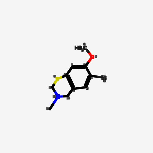 CCc1cc2c(cc1OC(=O)O)SCN(C)C2